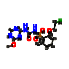 COc1ncnc(NC(=O)NS(=O)(=O)c2c(C)cccc2OCCF)n1